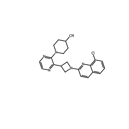 N#CC1CCN(c2nccnc2C2CN(c3ccc4cccc(Cl)c4n3)C2)CC1